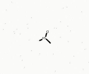 [CH2][SH](C)Cl